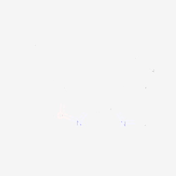 C[Si](C)(C)c1ccnc2c1ccc1c(-c3ccccc3)onc12